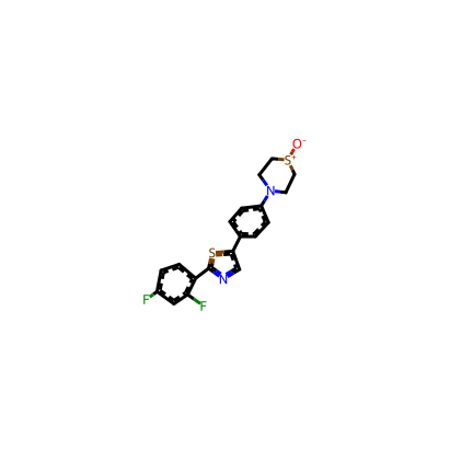 [O-][S+]1CCN(c2ccc(-c3cnc(-c4ccc(F)cc4F)s3)cc2)CC1